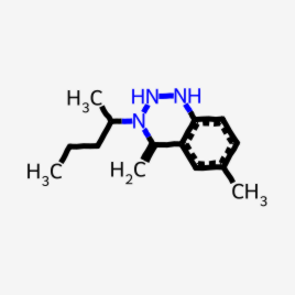 C=C1c2cc(C)ccc2NNN1C(C)CCC